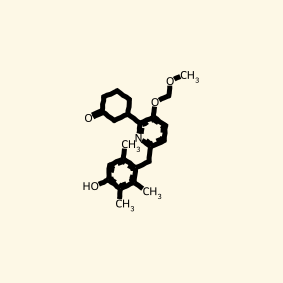 COCOc1ccc(Cc2c(C)cc(O)c(C)c2C)nc1C1CCCC(=O)C1